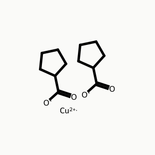 O=C([O-])C1CCCC1.O=C([O-])C1CCCC1.[Cu+2]